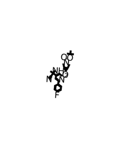 CC(C)(C)OC(=O)N1CC2C(C1)C2Oc1cc(C(C)(N)C#N)cc(-c2ccc(F)cc2)n1